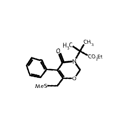 CCOC(=O)C(C)(C)N1COC(CSC)=C(c2ccccc2)C1=O